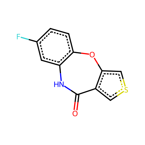 O=C1Nc2cc(F)ccc2Oc2cscc21